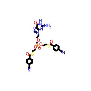 N#Cc1ccc(C(=O)SCCOP(=O)(COCCn2cnc3c(=O)[nH]c(N)nc32)OCCSC(=O)c2ccc(C#N)cc2)cc1